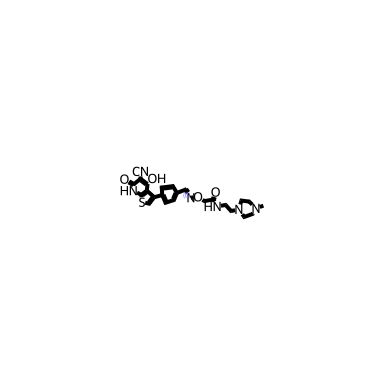 CN1CCN(CCNC(=O)CO/N=C/c2ccc(-c3csc4[nH]c(=O)c(C#N)c(O)c34)cc2)CC1